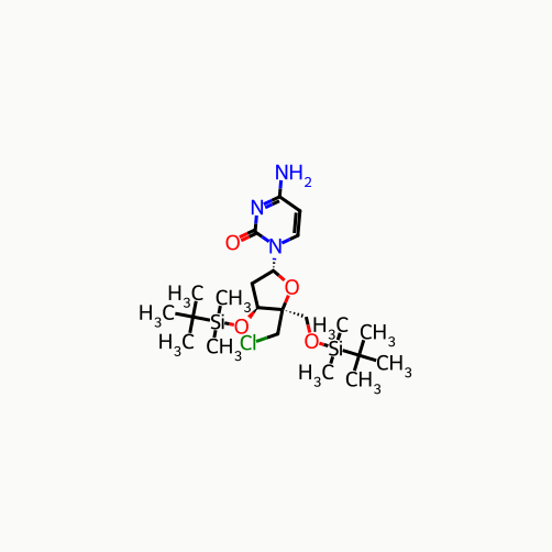 CC(C)(C)[Si](C)(C)OC[C@@]1(CCl)O[C@@H](n2ccc(N)nc2=O)C[C@@H]1O[Si](C)(C)C(C)(C)C